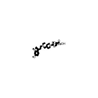 CCN(CCc1cn(C)c2cc(OC)ccc12)CC1CCN(c2ncc(C(=O)NO)cn2)CC1